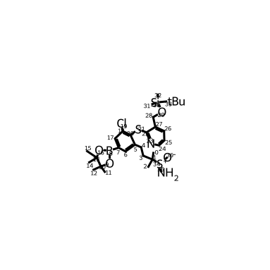 CC(C)(CCc1cc(B2OC(C)(C)C(C)(C)O2)cc(Cl)c1Sc1ncccc1CO[Si](C)(C)C(C)(C)C)[S+](N)[O-]